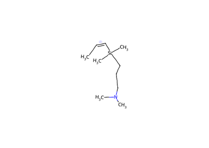 C/C=C\[Si](C)(C)CCCN(C)C